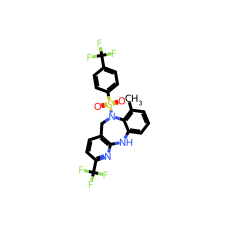 Cc1cccc2c1N(S(=O)(=O)c1ccc(C(F)(F)F)cc1)Cc1ccc(C(F)(F)F)nc1N2